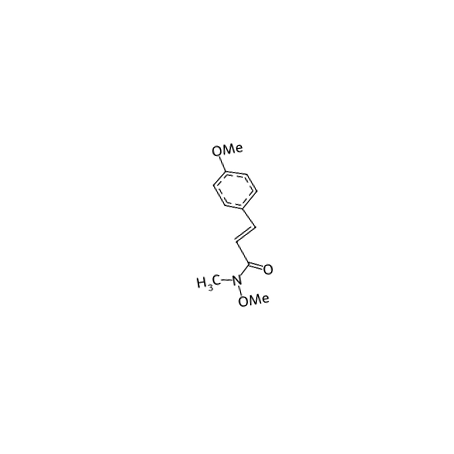 COc1ccc(C=CC(=O)N(C)OC)cc1